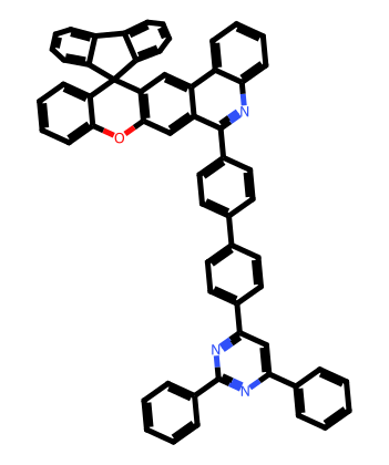 c1ccc(-c2cc(-c3ccc(-c4ccc(-c5nc6ccccc6c6cc7c(cc56)Oc5ccccc5C75c6ccccc6-c6ccccc65)cc4)cc3)nc(-c3ccccc3)n2)cc1